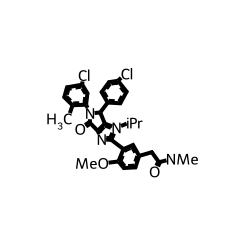 CNC(=O)Cc1ccc(OC)c(-c2nc3c(n2C(C)C)C(c2ccc(Cl)cc2)N(c2cc(Cl)ccc2C)C3=O)c1